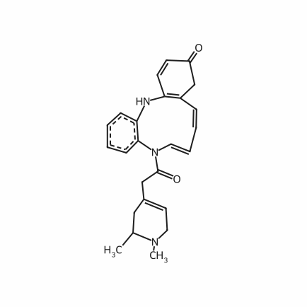 CC1CC(CC(=O)N2/C=C/C=C\C3=C(C=CC(=O)C3)Nc3ccccc32)=CCN1C